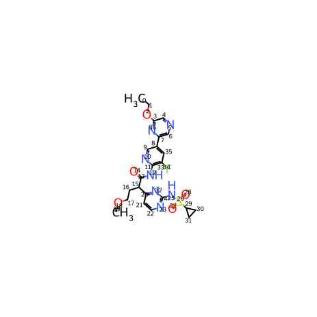 CCOc1cncc(-c2cnc(NC(=O)C(CCOC)c3ccnc(NS(=O)(=O)C4CC4)n3)c(F)c2)n1